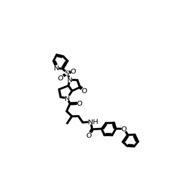 CC(CCNC(=O)c1ccc(Oc2ccccc2)cc1)CC(=O)N1CCC2C1C(=O)CN2S(=O)(=O)c1ccccn1